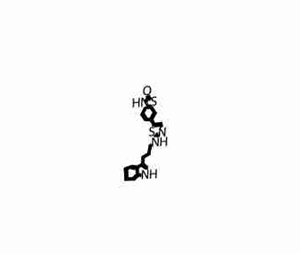 O=c1[nH]c2ccc(-c3cnc(NCCCc4c[nH]c5ccccc45)s3)cc2s1